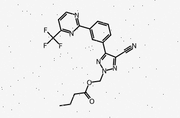 CCCC(=O)OCn1nc(C#N)c(-c2cccc(-c3nccc(C(F)(F)F)n3)c2)n1